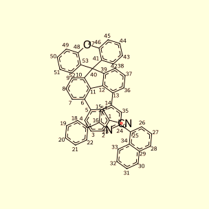 N#Cc1cccc(-c2cccc3c2-c2c(-c4cc(-c5ccccc5)nc(-c5cccc6ccccc56)c4)cccc2C32c3ccccc3Oc3ccccc32)c1